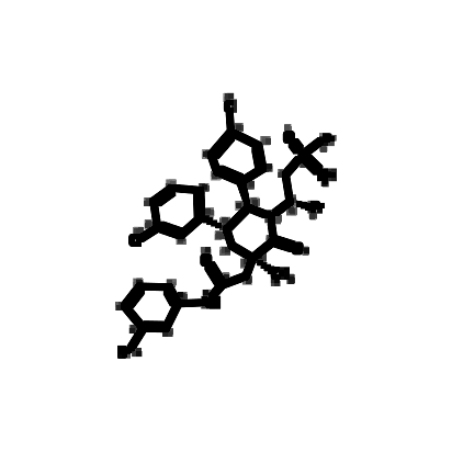 CC(C)[C@@H](CS(=N)(=O)C(C)C)N1C(=O)[C@@](C)(CC(=O)Nc2cccc(Br)c2)C[C@H](c2cccc(Cl)c2)[C@H]1c1ccc(Cl)cc1